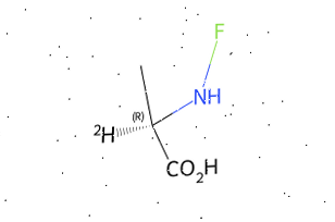 [2H][C@](C)(NF)C(=O)O